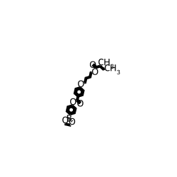 CCC(C)C(=O)OCCCCOc1ccc(C(=O)Oc2ccc(B3OCCO3)cc2)cc1